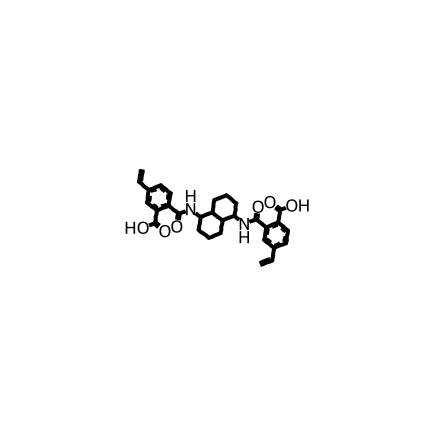 C=Cc1ccc(C(=O)NC2CCCC3C(NC(=O)c4cc(C=C)ccc4C(=O)O)CCCC23)c(C(=O)O)c1